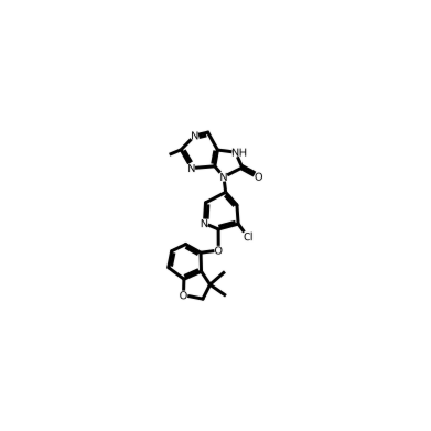 Cc1ncc2[nH]c(=O)n(-c3cnc(Oc4cccc5c4C(C)(C)CO5)c(Cl)c3)c2n1